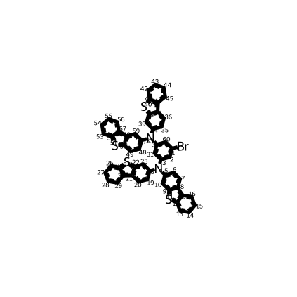 Brc1cc(N(c2ccc3c(c2)sc2ccccc23)c2ccc3c(c2)sc2ccccc23)cc(N(c2ccc3c(c2)sc2ccccc23)c2ccc3sc4ccccc4c3c2)c1